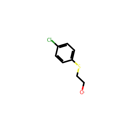 [O]CCSc1ccc(Cl)cc1